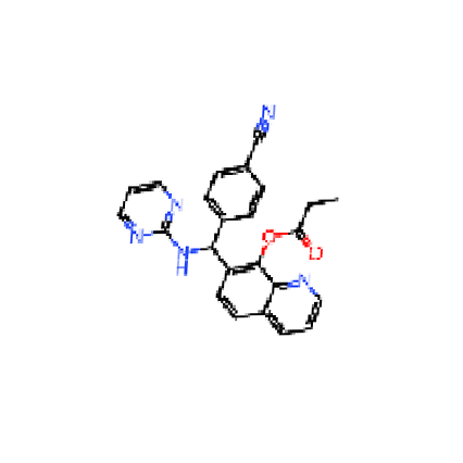 CCC(=O)Oc1c(C(Nc2ncccn2)c2ccc(C#N)cc2)ccc2cccnc12